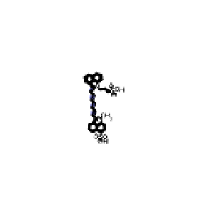 C[N+]1=C(/C=C/C=C/C=C/C=c2/c3cccc4cccc(c43)n2CCCS(=O)(=O)O)c2cccc3c(S(=O)(=O)O)ccc1c23